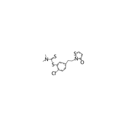 CN(C)C(=S)Sc1cc(CCn2sccc2=O)ccc1Cl